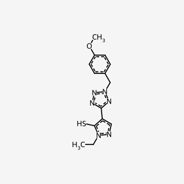 CCn1ncc(-c2nnn(Cc3ccc(OC)cc3)n2)c1S